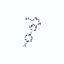 Sc1ncnc2cc(-c3ccc(Cl)cc3)sc12